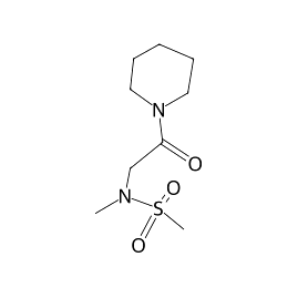 CN(CC(=O)N1CCCCC1)S(C)(=O)=O